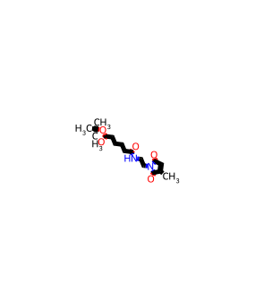 CC1=CC(=O)N(CCNC(=O)CCCCC(=O)OC(C)(C)C)C1=O